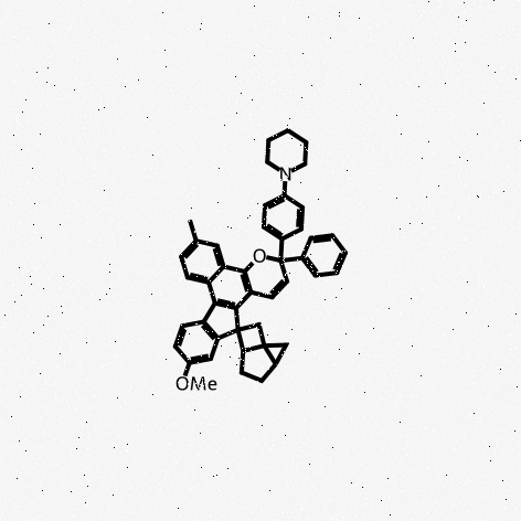 COc1ccc2c(c1)C1(CC34CC3CCC14)c1c3c(c4cc(C)ccc4c1-2)OC(c1ccccc1)(c1ccc(N2CCCCC2)cc1)C=C3